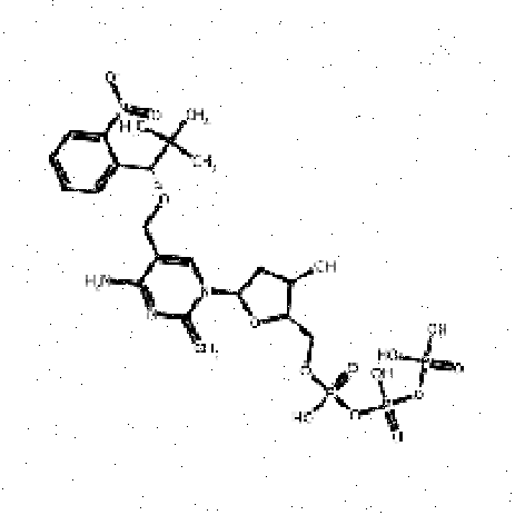 C=C1N=C(N)C(CO[C@H](c2ccccc2[N+](=O)[O-])C(C)(C)C)=CN1[C@H]1C[C@@H](O)[C@@H](COP(=O)(O)OP(=O)(O)OP(=O)(O)O)O1